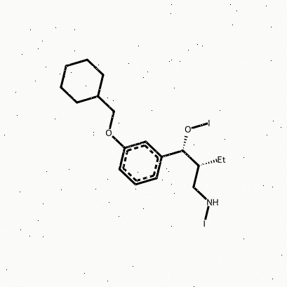 CC[C@H](CNI)[C@@H](OI)c1cccc(OCC2CCCCC2)c1